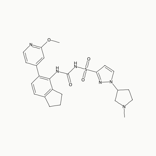 COc1cc(-c2ccc3c(c2NC(=O)NS(=O)(=O)c2ccn(C4CCN(C)C4)n2)CCC3)ccn1